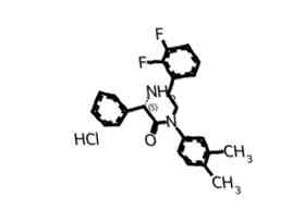 Cc1ccc(N(CCc2cccc(F)c2F)C(=O)[C@@H](N)c2ccccc2)cc1C.Cl